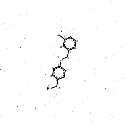 Cc1cccc(COc2ccc(CBr)cc2)c1